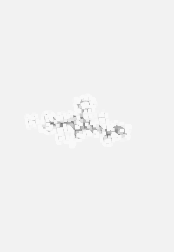 CC(=O)NCCNc1nc(-c2ccccc2)nc(NCCNC(=O)C2CC3C=CC2C3)c1C